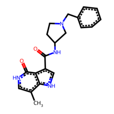 Cc1c[nH]c(=O)c2c(C(=O)NC3CCN(Cc4ccccc4)C3)c[nH]c12